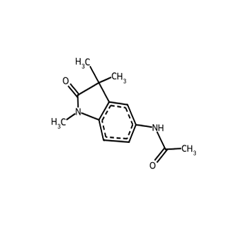 CC(=O)Nc1ccc2c(c1)C(C)(C)C(=O)N2C